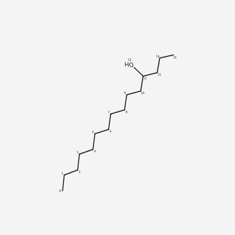 CCCCCCCCCCCC(O)CCC